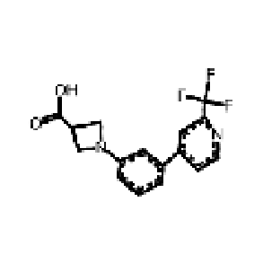 O=C(O)C1CN(c2cccc(-c3ccnc(C(F)(F)F)c3)c2)C1